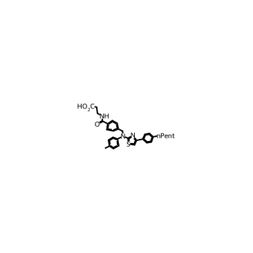 CCCCCc1ccc(-c2csc(N(Cc3ccc(C(=O)NCCC(=O)O)cc3)c3ccc(C)cc3)n2)cc1